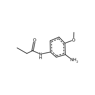 CCC(=O)Nc1ccc(OC)c(N)c1